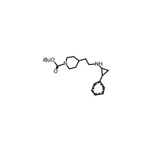 CC(C)COC(=O)N1CCC(CCNC2CC2c2ccccc2)CC1